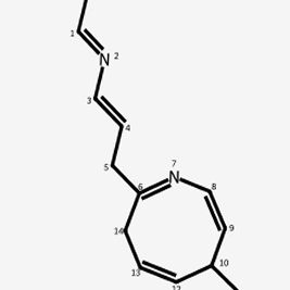 C/C=N/C=C/C/C1=N/C=C\C(C)/C=C\C1